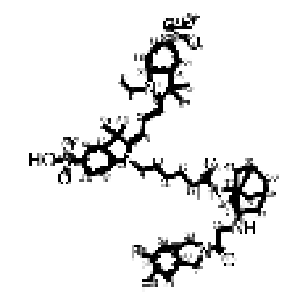 CC[N+]1=C(/C=C/C=C2/N(CCCCCC(=O)NC34CC5CC(CC(NCC(=O)N6Cc7cc(F)c(F)cc7C6)(C5)C3)C4)c3ccc(S(=O)(=O)O)cc3C2(C)C)C(C)(C)c2cc(S(=O)(=O)[O-])ccc21